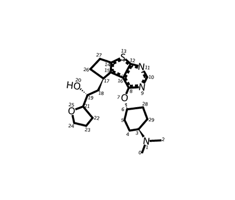 CN(C)[C@H]1CC[C@H](Oc2ncnc3sc4c(c23)[C@@H](C[C@@H](O)C2CCCO2)CC4)CC1